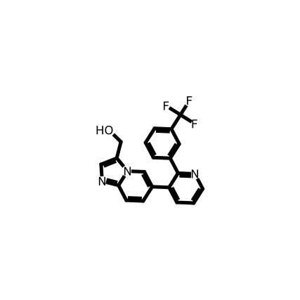 OCc1cnc2ccc(-c3cccnc3-c3cccc(C(F)(F)F)c3)cn12